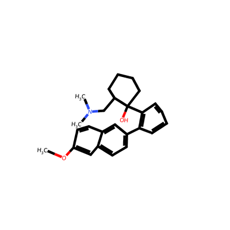 COc1ccc2cc(-c3[c]cccc3C3(O)CCCCC3CN(C)C)ccc2c1